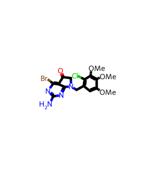 COc1cc(CN2CC(=O)c3c(Br)nc(N)nc32)c(Cl)c(OC)c1OC